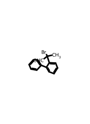 CC(Br)(C=O)c1ccccc1-c1ccccc1